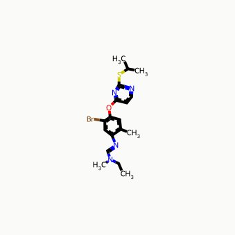 CCN(C)C=Nc1cc(Br)c(Oc2ccnc(SC(C)C)n2)cc1C